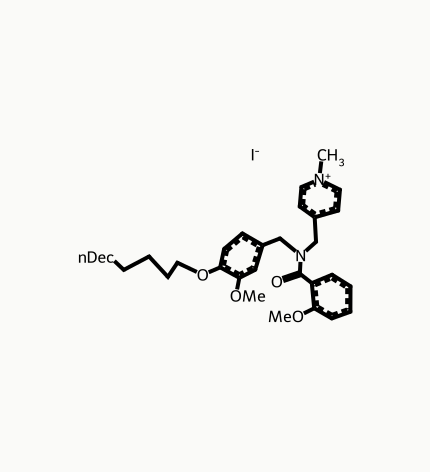 CCCCCCCCCCCCCCOc1ccc(CN(Cc2cc[n+](C)cc2)C(=O)c2ccccc2OC)cc1OC.[I-]